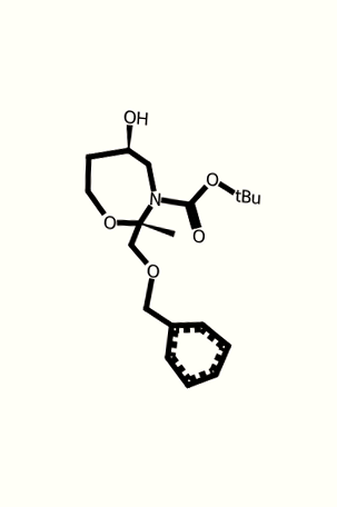 CC(C)(C)OC(=O)N1C[C@H](O)CCO[C@@]1(C)COCc1ccccc1